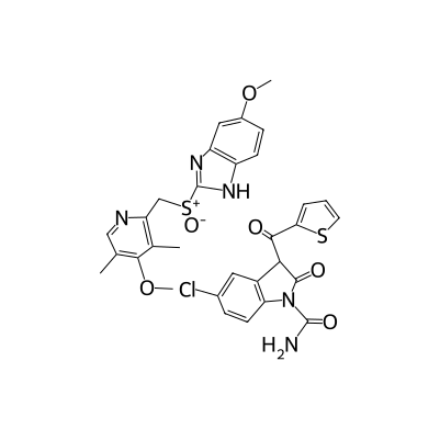 COc1ccc2[nH]c([S+]([O-])Cc3ncc(C)c(OC)c3C)nc2c1.NC(=O)N1C(=O)C(C(=O)c2cccs2)c2cc(Cl)ccc21